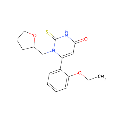 CCOc1ccccc1-c1cc(=O)[nH]c(=S)n1CC1CCCO1